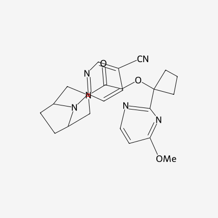 COc1ccnc(C2(OCC(=O)N3CC4CCC(C3)N4c3ccc(C#N)cn3)CCC2)n1